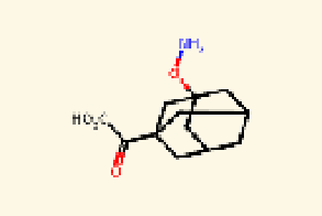 NOC12CC3CC(C1)CC(C(=O)C(=O)O)(C3)C2